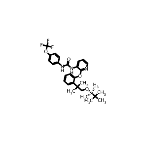 CC(C)(CO[Si](C)(C)C(C)(C)C)c1ccccc1Oc1ncccc1NC(=O)Nc1ccc(OC(F)(F)F)cc1